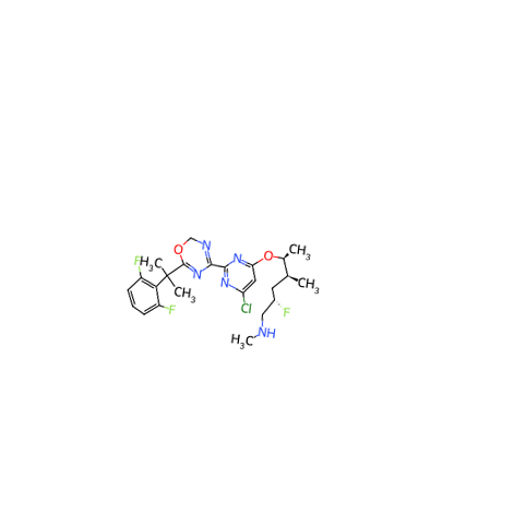 CNC[C@@H](F)C[C@H](C)[C@H](C)Oc1cc(Cl)nc(C2=NCOC(C(C)(C)c3c(F)cccc3F)=N2)n1